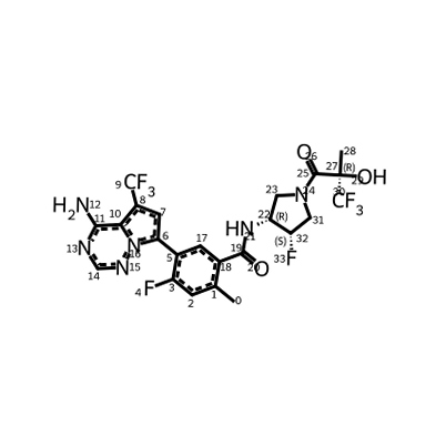 Cc1cc(F)c(-c2cc(C(F)(F)F)c3c(N)ncnn23)cc1C(=O)N[C@@H]1CN(C(=O)[C@@](C)(O)C(F)(F)F)C[C@@H]1F